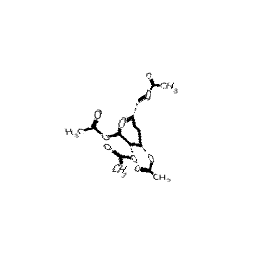 CC(=O)OC[C@@H]1C[C@H](OC(C)=O)[C@H](OC(C)=O)C(OC(C)=O)O1